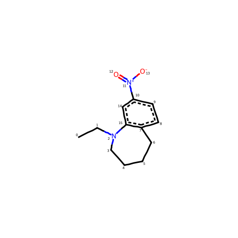 CCN1CCCCc2ccc([N+](=O)[O-])cc21